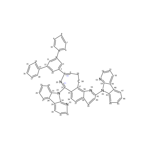 C1=C(c2cc(-c3ccccc3)cc(-c3ccccc3)c2)\N=C(\n2c3ccccc3c3cccnc32)c2ccc3ccc(-n4c5ccccc5c5cccnc54)nc3c2CC/1